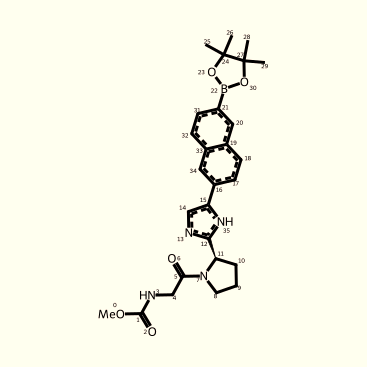 COC(=O)NCC(=O)N1CCC[C@@H]1c1ncc(-c2ccc3cc(B4OC(C)(C)C(C)(C)O4)ccc3c2)[nH]1